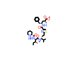 CC[C@H](C)[C@H](NC(=O)[C@H]1CCCCN1)C(=O)N(C)[C@H](CCc1nc(C(=O)N[C@@H](Cc2ccccc2)C[C@H](C)C(=O)OC)cs1)C(C)C